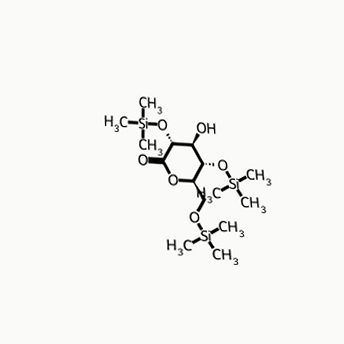 C[Si](C)(C)OC[C@H]1OC(=O)[C@H](O[Si](C)(C)C)[C@@H](O)[C@@H]1O[Si](C)(C)C